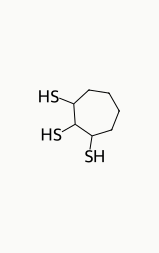 SC1CCCCC(S)C1S